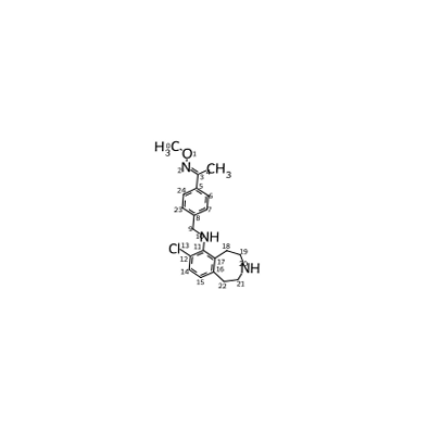 CO/N=C(\C)c1ccc(CNc2c(Cl)ccc3c2CCNCC3)cc1